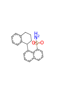 NS(=O)(=O)c1cccc2cccc(C3CCCc4ccccc43)c12